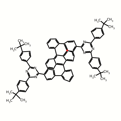 CC(C)(C)c1ccc(-c2nc(-c3ccc(-c4ccccc4-c4c5ccccc5c(-c5ccccc5-c5ccc(-c6nc(-c7ccc(C(C)(C)C)cc7)nc(-c7ccc(C(C)(C)C)cc7)n6)cc5)c5ccccc45)cc3)nc(-c3ccc(C(C)(C)C)cc3)n2)cc1